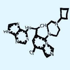 CC(Nc1ncnc2[nH]cnc12)c1cc(Cl)c2cncn2c1N1CCN(C2CCC2)CC1